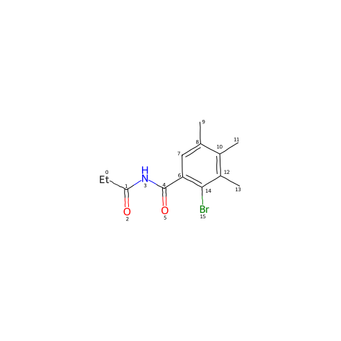 CCC(=O)NC(=O)c1cc(C)c(C)c(C)c1Br